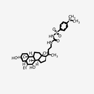 CC[C@H]1[C@@H](O)[C@@H]2[C@H](CC[C@]3(C)[C@@H]([C@H](C)CCNC(=O)NS(=O)(=O)c4ccc(N(C)C)cc4)CC[C@@H]23)[C@@]2(C)CC[C@@H](O)C[C@@H]12